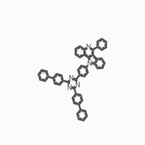 c1ccc(-c2ccc(-c3nc(-c4ccc(-c5ccccc5)cc4)nc(-c4ccc(-n5c6ccccc6c6c(-c7ccccc7)nc7ccccc7c65)cc4)n3)cc2)cc1